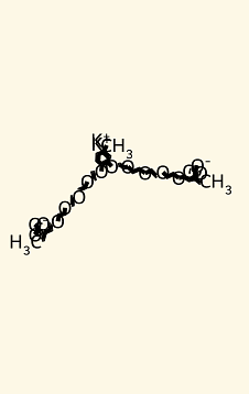 CCC(CCOCCOCCOCCOCCOc1ccc(C)cc1OCCOCCOCCOCCOCCC(CC)S(=O)(=O)[O-])S(=O)(=O)[O-].[K+].[K+]